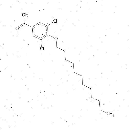 CCCCCCCCCCCCOc1c(Cl)cc(C(=O)O)cc1Cl